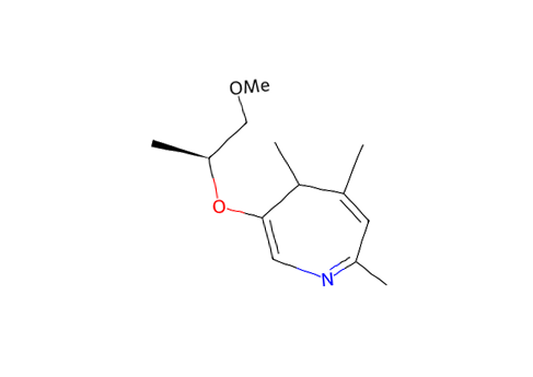 COC[C@H](C)OC1=CN=C(C)C=C(C)C1C